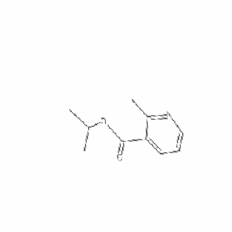 Cc1ncccc1C(=O)OC(C)C